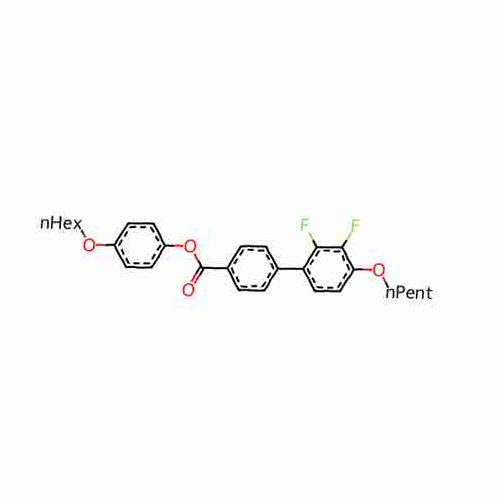 CCCCCCOc1ccc(OC(=O)c2ccc(-c3ccc(OCCCCC)c(F)c3F)cc2)cc1